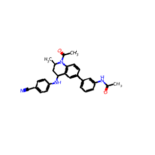 CC(=O)Nc1cccc(-c2ccc3c(c2)C(Nc2ccc(C#N)cc2)CC(C)N3C(C)=O)c1